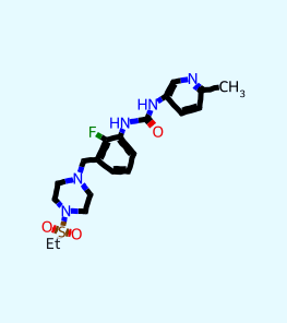 CCS(=O)(=O)N1CCN(Cc2cccc(NC(=O)Nc3ccc(C)nc3)c2F)CC1